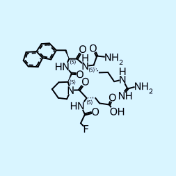 N=C(N)NCCC[C@H](NC(=O)[C@H](Cc1ccc2ccccc2c1)NC(=O)[C@@H]1CCCCN1C(=O)[C@H](CCC(=O)O)NC(=O)CF)C(N)=O